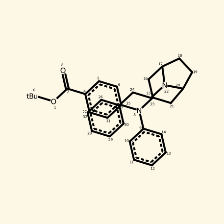 CC(C)(C)OC(=O)c1ccc(N(c2ccccc2)C2CC3CCC(C2)N3CCc2ccccc2)cc1